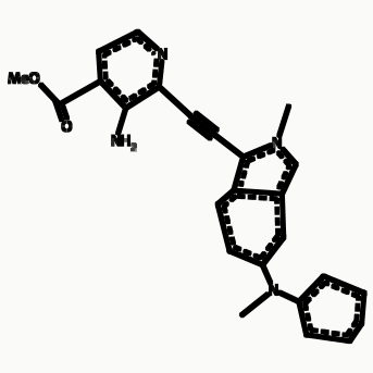 COC(=O)c1ccnc(C#Cc2c3ccc(N(C)c4ccccc4)cc3cn2C)c1N